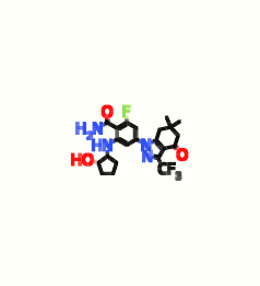 CC1(C)CC(=O)c2c(C(F)(F)F)nn(-c3cc(F)c(C(N)=O)c(N[C@H]4CCC[C@@H]4O)c3)c2C1